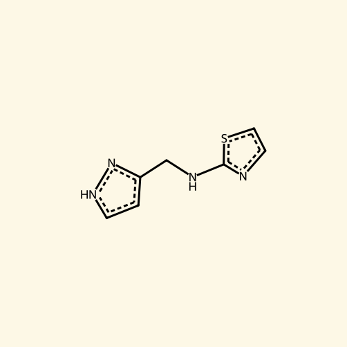 c1csc(NCc2cc[nH]n2)n1